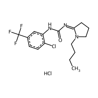 CCCCN1CCCC1=NC(=O)Nc1cc(C(F)(F)F)ccc1Cl.Cl